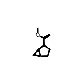 C=C(OC)C1CCC2CC21